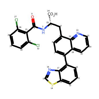 O=C(N[C@@H](Cc1ccc(-c2cccc3scnc23)c2cccnc12)C(=O)O)c1c(Cl)cccc1Cl